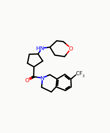 O=C(C1CCC(NC2CCOCC2)C1)N1CCc2ccc(C(F)(F)F)cc2C1